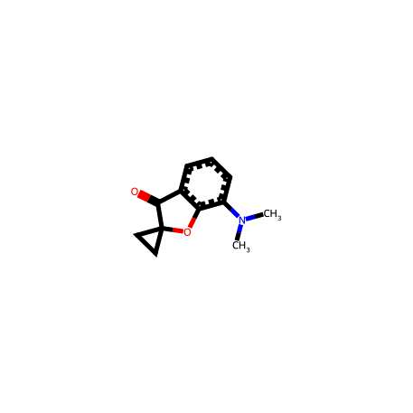 CN(C)c1cccc2c1OC1(CC1)C2=O